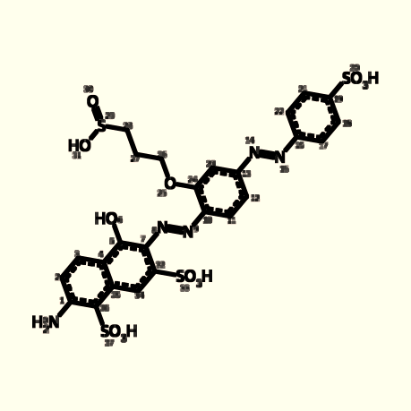 Nc1ccc2c(O)c(N=Nc3ccc(N=Nc4ccc(S(=O)(=O)O)cc4)cc3OCCCS(=O)O)c(S(=O)(=O)O)cc2c1S(=O)(=O)O